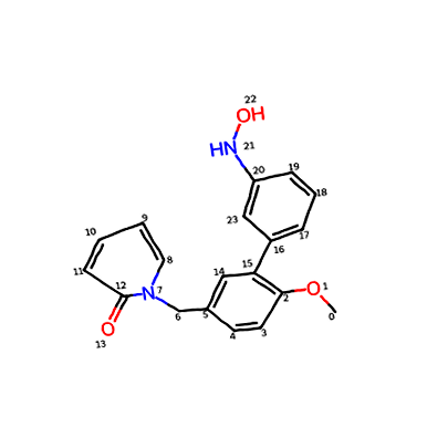 COc1ccc(Cn2ccccc2=O)cc1-c1cccc(NO)c1